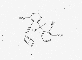 C#Cc1c(C(=O)O)cccc1C(C)(C)c1cccc(C(=O)O)c1C#C.c1cc2ccc1-2